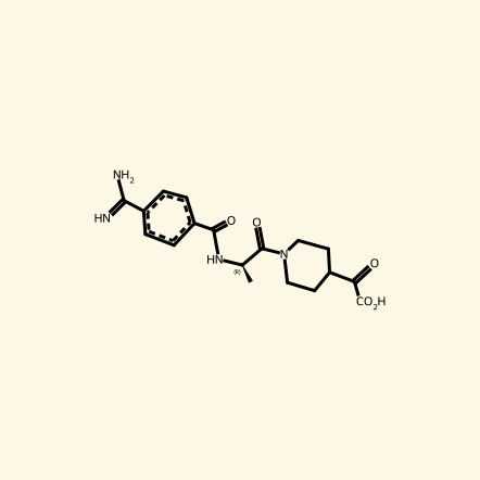 C[C@@H](NC(=O)c1ccc(C(=N)N)cc1)C(=O)N1CCC(C(=O)C(=O)O)CC1